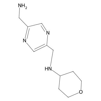 NCc1cnc(CNC2CCOCC2)cn1